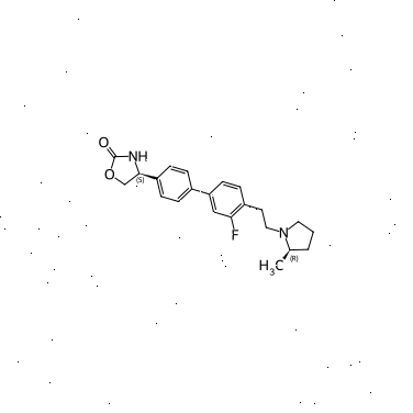 C[C@@H]1CCCN1CCc1ccc(-c2ccc([C@H]3COC(=O)N3)cc2)cc1F